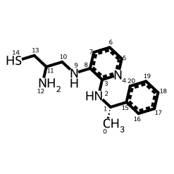 C[C@H](Nc1ncccc1NCC(N)CS)c1ccccc1